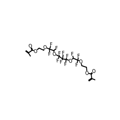 C=C(C)C(=O)OCCOC(F)(F)C(F)OC(F)(F)C(F)(F)C(F)(F)OC(F)C(F)(F)OCCOC(=O)C(=C)C